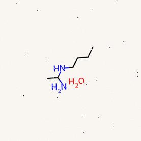 CCCCNC(C)N.O